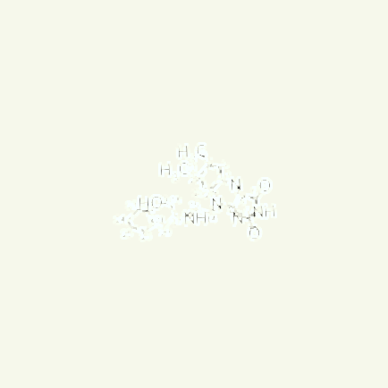 Cc1cc2nc3c(=O)[nH]c(=O)nc-3n(CCN[C@H](CO)Cc3ccccc3)c2cc1C